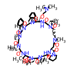 CC(C)C[C@@H]1NC(=O)[C@H](Cc2ccccc2)N(C)C(=O)[C@H](Cc2ccccc2)N(C)C(=O)[C@H](COCCN(C)C)NC(=O)[C@H](CC(C)C)N(C)C(=O)CCCN(C)C(=O)C[C@@H](C(=O)N2CCCCC2)NC(=O)[C@H](CC(C)C)N(C)C(=O)[C@H](CC(C)C)N(C)C(=O)C([C@@H](C)O)NC(=O)[C@H](CC(C)C)N(C)C1=O